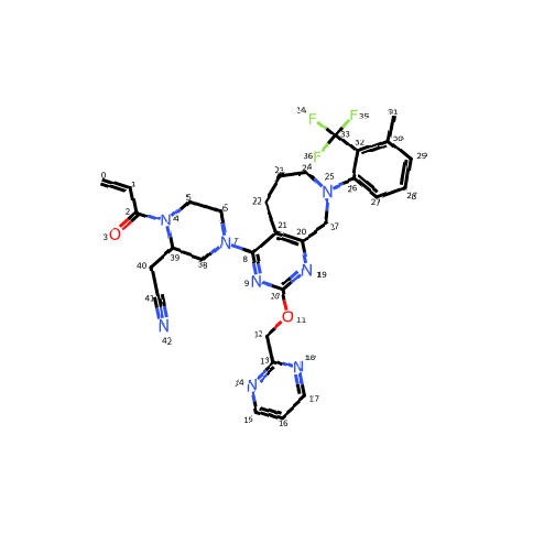 C=CC(=O)N1CCN(c2nc(OCc3ncccn3)nc3c2CCCN(c2cccc(C)c2C(F)(F)F)C3)CC1CC#N